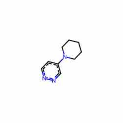 c1cc(N2CCCCC2)cnn1